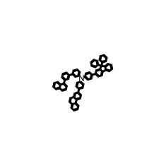 c1ccc(C2(c3ccccc3)c3ccccc3-c3ccc(-c4ccc(N(c5ccc(-c6ccc7c(ccc8ccccc87)c6)cc5)c5cccc(-c6cccc(-c7cccc8ccccc78)c6)c5)cc4)cc32)cc1